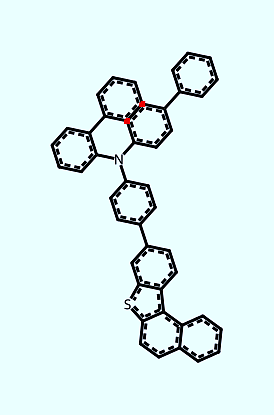 c1ccc(-c2ccc(N(c3ccc(-c4ccc5c(c4)sc4ccc6ccccc6c45)cc3)c3ccccc3-c3ccccc3)cc2)cc1